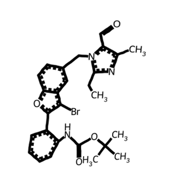 CCc1nc(C)c(C=O)n1Cc1ccc2oc(-c3ccccc3NC(=O)OC(C)(C)C)c(Br)c2c1